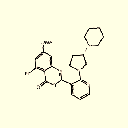 CCc1cc(OC)cc2nc(-c3cccnc3N3CC[C@H](N4CCCCC4)C3)oc(=O)c12